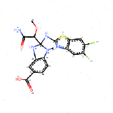 COC(C(N)=O)C1(Nc2nc3cc(F)c(F)cc3s2)Nc2cc(C(=O)O)ccc2N1C